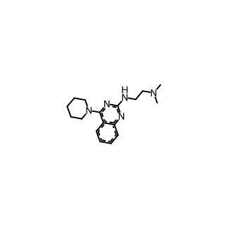 CN(C)CCNc1nc(N2CCCCC2)c2ccccc2n1